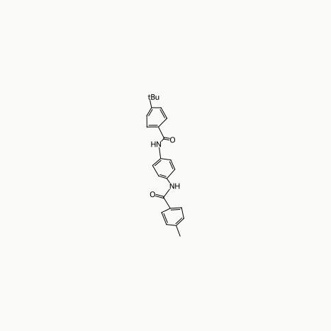 Cc1ccc(C(=O)Nc2ccc(NC(=O)c3ccc(C(C)(C)C)cc3)cc2)cc1